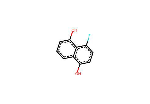 Oc1ccc(F)c2c(O)cccc12